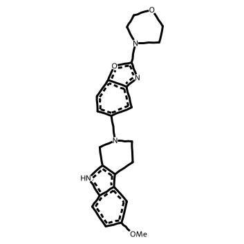 COc1ccc2[nH]c3c(c2c1)CCN(c1ccc2oc(N4CCOCC4)nc2c1)C3